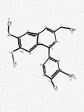 CCOc1cc2cc(CO)nc(-c3ccc(Cl)c([N+](=O)[O-])c3)c2cc1OCC